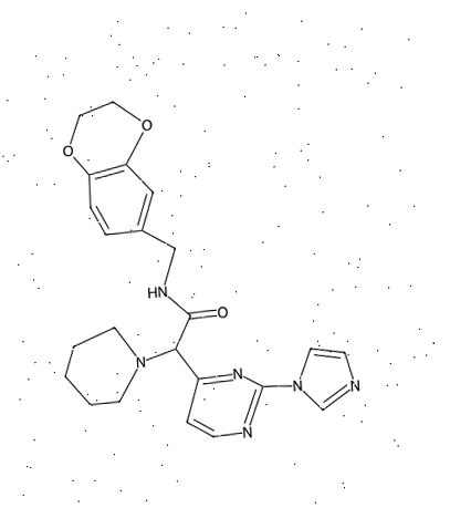 O=C(NCc1ccc2c(c1)OCCO2)C(c1ccnc(-n2ccnc2)n1)N1CCCCC1